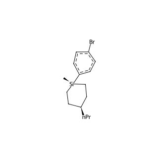 CCC[C@H]1CC[Si@](C)(c2ccc(Br)cc2)CC1